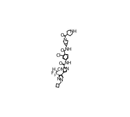 Cn1c(-c2cn(CC3CCC3)nc2C(F)(F)F)cnc1C(=O)Nc1ccc(C(=O)NC2C3CN(C(=O)C4CCNCC4)CC32)c(Cl)c1